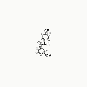 O=C(Nc1ccc(C(F)(F)F)cc1)c1cccc(O)c1